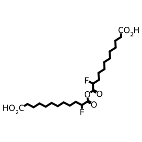 O=C(O)CCCCCCCCCC(F)C(=O)OC(=O)C(F)CCCCCCCCCC(=O)O